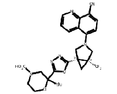 CC(C)(C)C1(c2nnc([C@]34CN(c5ccc(C#N)c6ncccc56)C[C@@]3(C(F)(F)F)C4)o2)CN(C(=O)O)CCO1